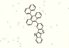 C1=CC2=Nc3c(sc4ccc(-c5c6ccccc6c(-c6cccc7ccccc67)c6ccccc56)cc34)C2C=C1